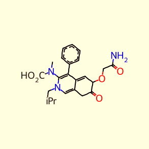 CC(C)CN1C=C2CC(=O)C(OCC(N)=O)C=C2C(c2ccccc2)=C1N(C)C(=O)O